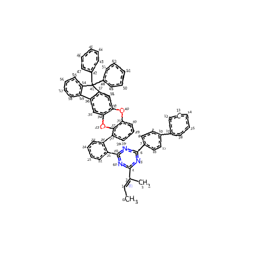 C/C=C(\C)c1nc(-c2ccc(-c3ccccc3)cc2)nc(-c2ccccc2-c2cccc3c2Oc2cc4c(cc2O3)C(c2ccccc2)(c2ccccc2)c2ccccc2-4)n1